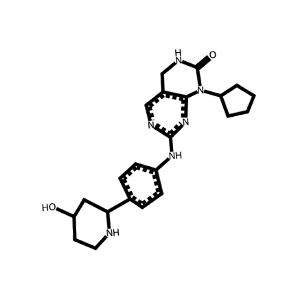 O=C1NCc2cnc(Nc3ccc(C4CC(O)CCN4)cc3)nc2N1C1CCCC1